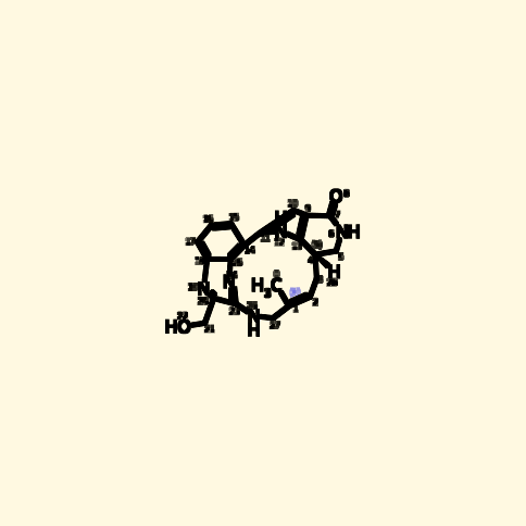 C/C1=C\C[C@H]2CNC(=O)c3cc([nH]c32)-c2cccc3nc(CO)c(nc23)NC1